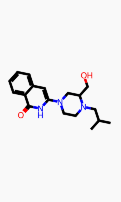 CC(C)CN1CCN(c2cc3ccccc3c(=O)[nH]2)CC1CO